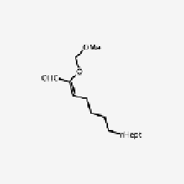 CCCCCCCCCCCC=C(C=O)OCOC